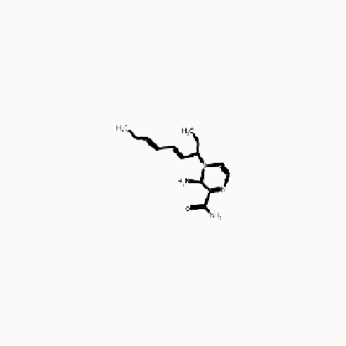 CCC=CC=CC(CC)N1C=CN=C(C(N)=O)C1N